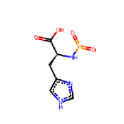 O=C(O)[C@H](Cc1c[nH]cn1)NP(=O)=O